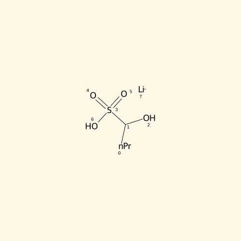 CCCC(O)S(=O)(=O)O.[Li]